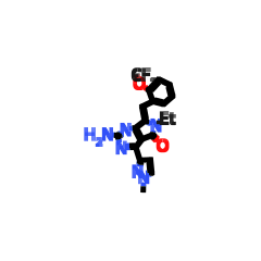 CCN1C(=O)c2c(nc(N)nc2-c2ccn(C)n2)C1=Cc1ccccc1OC(F)(F)F